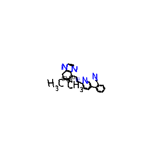 C[C@H]1[C@H](/C=C/c2ccc(-c3ccccc3C#N)cn2)c2nccnc2C[C@@H]1C